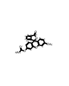 CCCC(=O)Oc1ccc2c(c1)Oc1cc(OC(C)=O)ccc1C21OC(=O)c2ccccc21